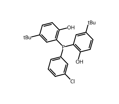 CC(C)(C)c1ccc(O)c(P(c2cccc(Cl)c2)c2cc(C(C)(C)C)ccc2O)c1